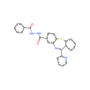 O=C(NNC(=O)c1ccc2c(c1)N=C(c1ccccn1)c1ccccc1S2)c1ccccc1